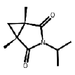 CC(C)N1C(=O)[C@]2(C)C[C@]2(C)C1=O